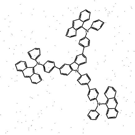 c1ccc(N(c2ccc(-c3ccc(-n4c5ccc(-c6ccc(N(c7ccccc7)c7c8ccccc8cc8ccccc78)cc6)cc5c5cc(-c6ccc(N(c7ccccc7)c7c8ccccc8cc8ccccc78)cc6)ccc54)cc3)cc2)c2c3ccccc3cc3ccccc23)cc1